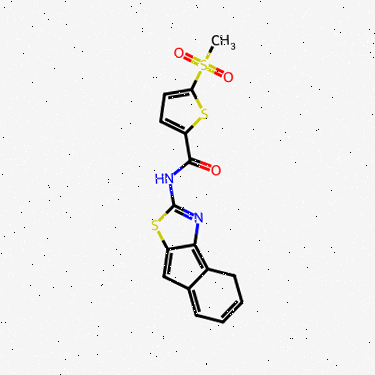 CS(=O)(=O)c1ccc(C(=O)Nc2nc3c(s2)=CC2=CC=CCC=32)s1